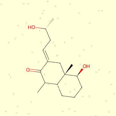 CC1C(=O)C(=CC[C@@H](C)O)C[C@@]2(C)C1CCC[C@@H]2O